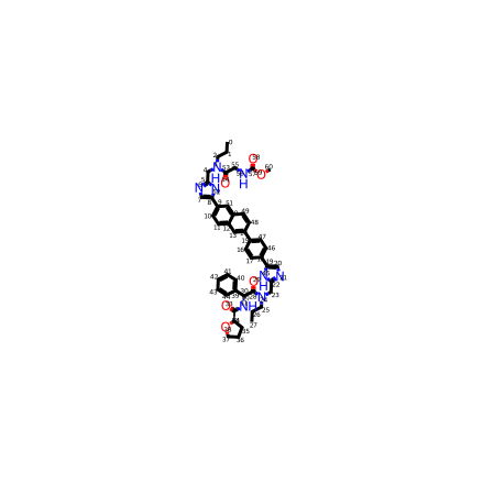 CCCN(Cc1ncc(-c2ccc3cc(-c4ccc(-c5cnc(CN(CCC)C(=O)[C@H](NC(=O)[C@H]6CCCO6)c6ccccc6)[nH]5)cc4)ccc3c2)[nH]1)C(=O)CNC(=O)OC